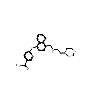 NC(=O)c1ccc(Oc2ccc(CNCCN3CCOCC3)c3ccccc23)nc1